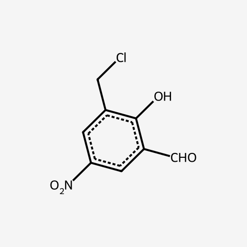 O=Cc1cc([N+](=O)[O-])cc(CCl)c1O